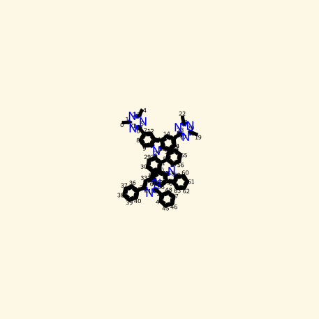 Cc1nc(C)nc(-c2ccc3c(c2)c2cc(-c4nc(C)nc(C)n4)ccc2n3-c2ccc(-c3cc(-c4ccccc4)nc(-c4ccccc4)n3)cc2-c2ccccc2-n2c3ccccc3c3ccccc32)n1